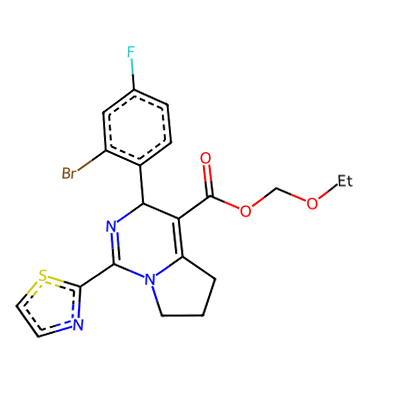 CCOCOC(=O)C1=C2CCCN2C(c2nccs2)=NC1c1ccc(F)cc1Br